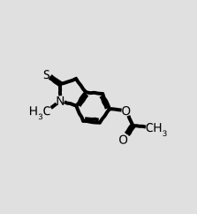 CC(=O)Oc1ccc2c(c1)CC(=S)N2C